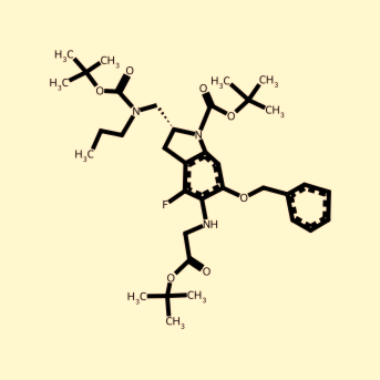 CCCN(C[C@H]1Cc2c(cc(OCc3ccccc3)c(NCC(=O)OC(C)(C)C)c2F)N1C(=O)OC(C)(C)C)C(=O)OC(C)(C)C